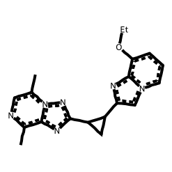 CCOc1cccn2cc(C3CC3c3nc4c(C)ncc(C)n4n3)nc12